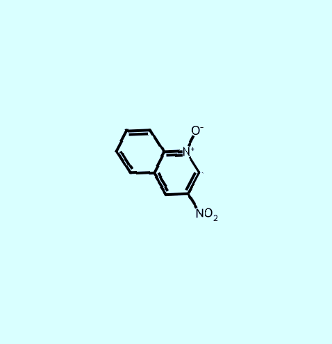 O=[N+]([O-])c1[c][n+]([O-])c2ccccc2c1